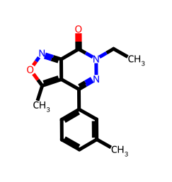 CCn1nc(-c2cccc(C)c2)c2c(C)onc2c1=O